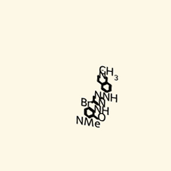 CNC(=O)c1ccccc1Nc1nc(Nc2ccc3c(c2)CCN(C)C3)ncc1Br